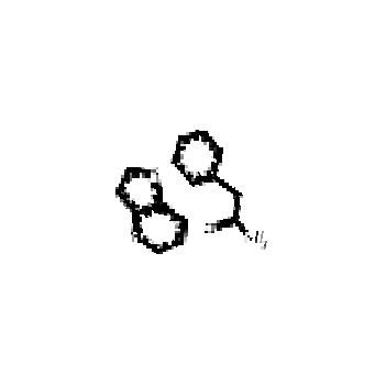 NC(=O)Cc1ccccc1.c1cnc2ccsc2c1